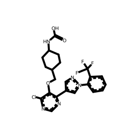 O=C(O)NC1CCC(COc2c(Cl)ncnc2-c2cnn(-c3ccccc3C(F)(F)F)c2)CC1